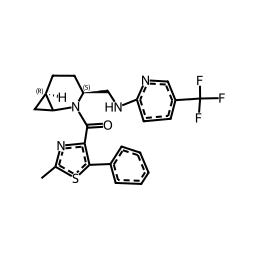 Cc1nc(C(=O)N2C3C[C@H]3CC[C@H]2CNc2ccc(C(F)(F)F)cn2)c(-c2ccccc2)s1